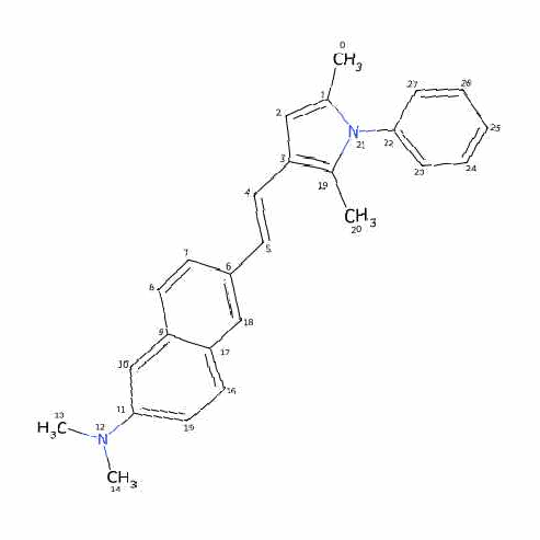 Cc1cc(/C=C/c2ccc3cc(N(C)C)ccc3c2)c(C)n1-c1ccccc1